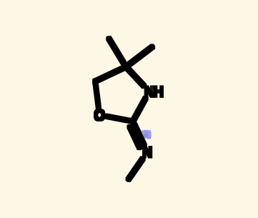 C/N=C1/NC(C)(C)CO1